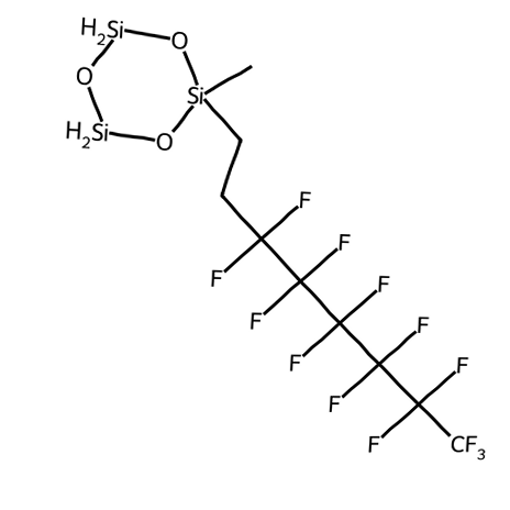 C[Si]1(CCC(F)(F)C(F)(F)C(F)(F)C(F)(F)C(F)(F)C(F)(F)F)O[SiH2]O[SiH2]O1